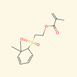 C=C(C)C(=O)OCCS(=O)(=O)C1C=CC=CC1(C)C